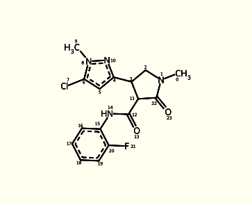 CN1CC(c2cc(Cl)n(C)n2)C(C(=O)Nc2ccccc2F)C1=O